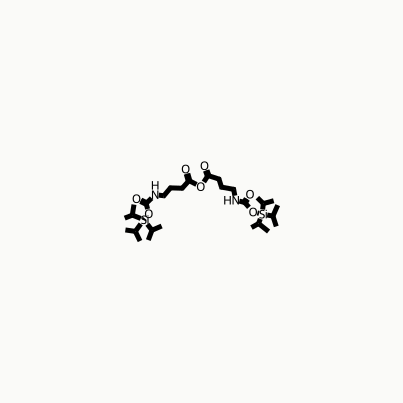 CC(C)[Si](OC(=O)NCCCC(=O)OC(=O)CCCNC(=O)O[Si](C(C)C)(C(C)C)C(C)C)(C(C)C)C(C)C